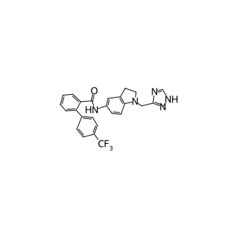 O=C(Nc1ccc2c(c1)CCN2Cc1nc[nH]n1)c1ccccc1-c1ccc(C(F)(F)F)cc1